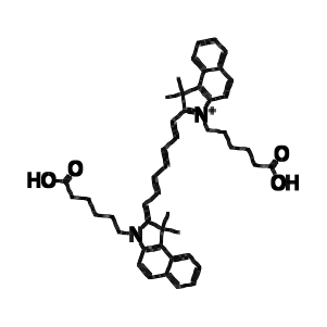 CC1(C)C(/C=C/C=C/C=C/C=C2/N(CCCCCC(=O)O)c3ccc4ccccc4c3C2(C)C)=[N+](CCCCCC(=O)O)c2ccc3ccccc3c21